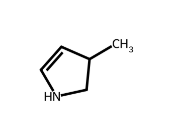 CC1C=CNC1